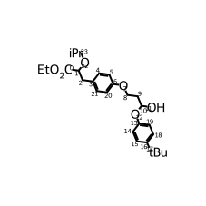 CCOC(=O)C(Cc1ccc(OCCC(O)Oc2ccc(C(C)(C)C)cc2)cc1)OC(C)C